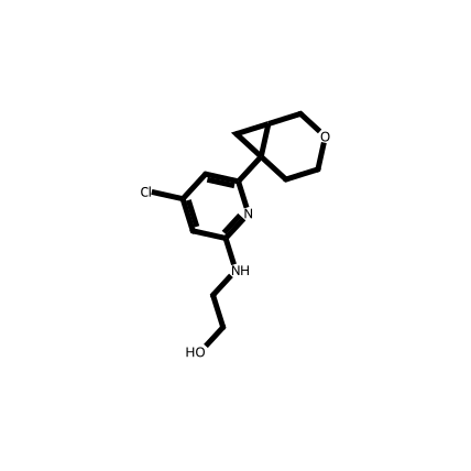 OCCNc1cc(Cl)cc(C23CCOCC2C3)n1